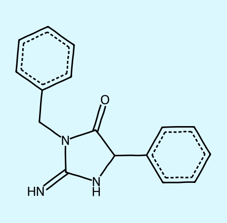 N=C1NC(c2ccccc2)C(=O)N1Cc1ccccc1